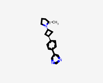 C[C@H]1CCCN1[C@H]1C[C@H](c2ccc(-c3cncnc3)cc2)C1